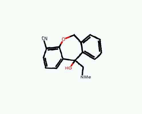 CNCC1(O)c2ccccc2COc2c(C#N)cccc21